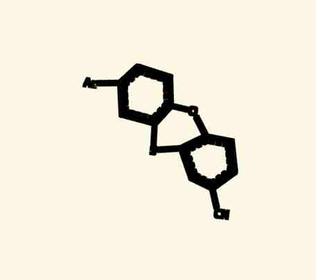 CC(=O)c1ccc2c(c1)Sc1cc(C#N)ccc1O2